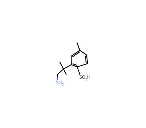 Cc1ccc(S(=O)(=O)O)c(C(C)(C)CN)c1